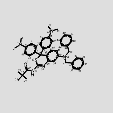 CN(C)c1ccc(C2(c3ccc(N(C)C)cc3)SC(NC(=O)C(C)(C)C)=Nc3cc(N(Cc4ccccc4)Cc4ccccc4)ccc32)cc1